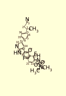 CC(CC#N)c1ccc(-c2cnc3[nH]cc(C(=O)c4c(F)ccc(NS(=O)(=O)N(C)C)c4F)c3c2)cc1